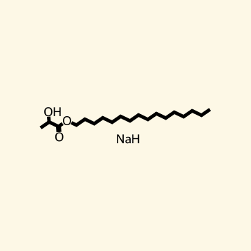 CCCCCCCCCCCCCCCCOC(=O)C(C)O.[NaH]